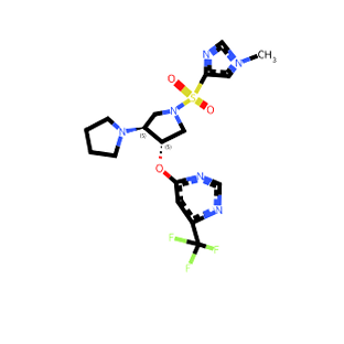 Cn1cnc(S(=O)(=O)N2C[C@H](Oc3cc(C(F)(F)F)ncn3)[C@@H](N3CCCC3)C2)c1